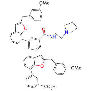 COc1cccc(Cc2cc3cccc(-c4cccc(C(=O)NCCN5CCCC5)c4)c3o2)c1.COc1cccc(Cc2cc3cccc(-c4cccc(C(=O)O)c4)c3o2)c1